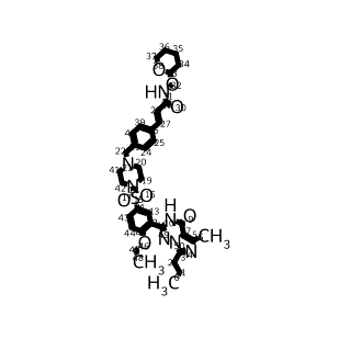 CCCc1nc(C)c2c(=O)[nH]c(-c3cc(S(=O)(=O)N4CCN(Cc5ccc(/C=C/C(=O)NOC6CCCCO6)cc5)CC4)ccc3OCC)nn12